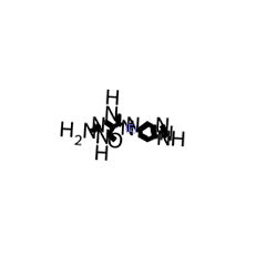 Nc1nc2[nH]cc(/N=N/c3ccc4[nH]nnc4c3)c2c(=O)[nH]1